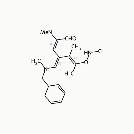 CN/C(C=O)=C/C(=C\N(C)CC1C=CC=CC1)C(/C)=C(\C)ONCl